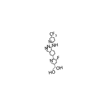 OC[C@@H](O)c1cnc(-c2ccc3c(Nc4ccc(C(F)(F)F)cn4)nncc3c2)c(F)c1